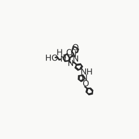 C[C@H]1COCCN1c1nc(-c2ccc(Nc3cccc(OCc4ccccc4)n3)cc2)nc2c1CCN(CCO)C2